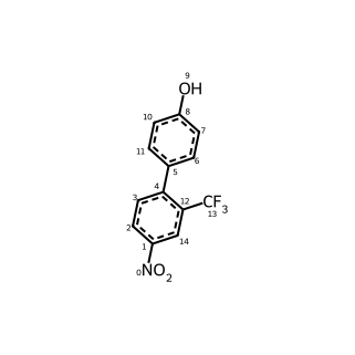 O=[N+]([O-])c1ccc(-c2ccc(O)cc2)c(C(F)(F)F)c1